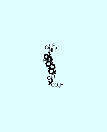 CC(C)(CC(=O)O[C@H]1CC[C@@]2(C)C(CC[C@]3(C)C2CC[C@@H]2[C@H]4CCC[C@]4(CCNC(=O)C(F)(F)F)CC[C@]23C)C1(C)C)C(=O)O